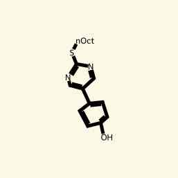 CCCCCCCCSc1ncc(-c2ccc(O)cc2)cn1